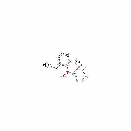 CCc1ccccc1[P](=O)c1ccccc1C